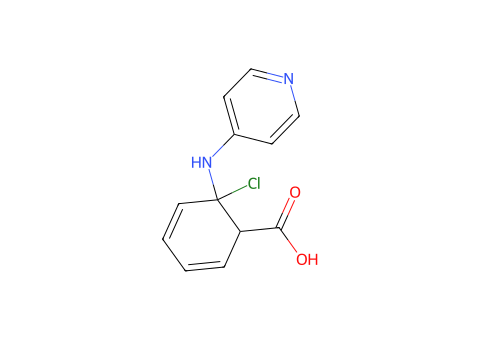 O=C(O)C1C=CC=CC1(Cl)Nc1ccncc1